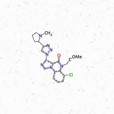 COCCn1c(=O)c2c(-n3cc(C4CCCN4C)nn3)ncn2c2cccc(Cl)c21